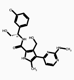 CNc1nccc(-c2c(C)[nH]c(C(=O)N[C@H](CO)c3cccc(Cl)c3)c2CO)n1